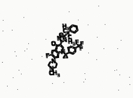 CN1CCN(c2cc3c(cc2F)c(=O)c(-c2noc(C(C)(C)c4ccccc4)n2)cn3C2(c3ccc(C(F)(F)F)cc3)CC2)CC1